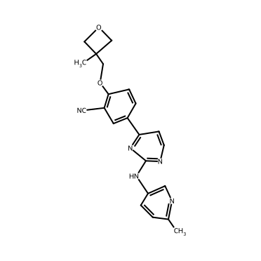 Cc1ccc(Nc2nccc(-c3ccc(OCC4(C)COC4)c(C#N)c3)n2)cn1